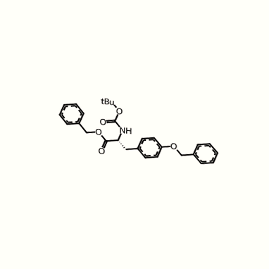 CC(C)(C)OC(=O)N[C@H](Cc1ccc(OCc2ccccc2)cc1)C(=O)OCc1ccccc1